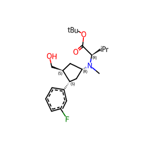 CC(C)[C@H](C(=O)OC(C)(C)C)N(C)[C@H]1C[C@H](CO)[C@@H](c2cccc(F)c2)C1